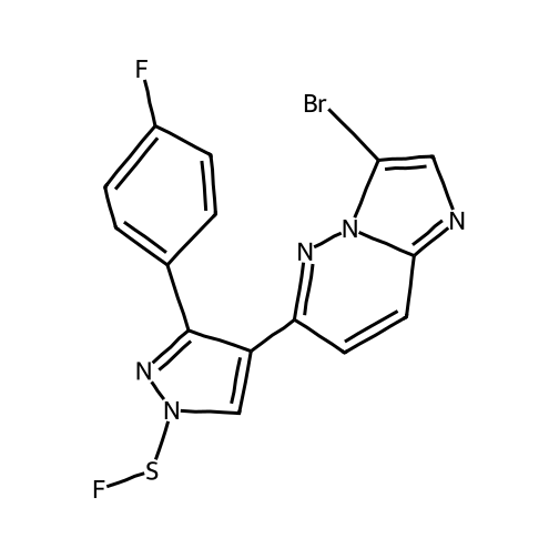 FSn1cc(-c2ccc3ncc(Br)n3n2)c(-c2ccc(F)cc2)n1